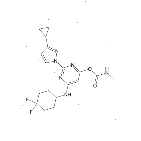 CNC(=O)Oc1cc(NC2CCC(F)(F)CC2)nc(-n2ccc(C3CC3)n2)n1